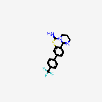 N=C1Sc2cc(-c3ccc(C(F)(F)F)cc3)ccc2C2=NCCCN12